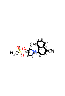 C[C@H]1[C@H](OS(C)(=O)=O)CCN1c1ccc(C#N)c2ccccc12